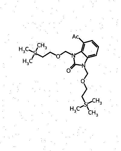 CC(=O)c1cccc2c1n(COCC[Si](C)(C)C)c(=O)n2COCC[Si](C)(C)C